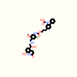 COc1cc(NC(=O)OCCCc2ccc(-c3ccccc3)c(NC(=O)O)c2)c(Cl)cc1CNC[C@@H](O)c1ccc(O)c2[nH]c(=O)ccc12